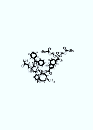 CN1CC[C@H]2CC[C@@H](C(=O)N[C@@H](CCC(N)=O)C(=O)NC(c3ccccc3)c3ccccc3)N2C(=O)[C@@H](NC(=O)c2cc3cc(C(=O)P(=O)(OCOC(=O)C(C)(C)C)OCOC(=O)C(C)(C)C)ccc3[nH]2)C1